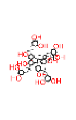 CC(C)(Cc1cc(O)cc(O)c1)c1cc(C(C(=O)O)C(c2ccc(O)c(C(C)(C)Cc3cc(O)cc(O)c3)c2)(c2ccc(O)c(C(C)(C)Cc3cc(O)cc(O)c3)c2)c2ccc(O)c(C(C)(C)Cc3cc(O)cc(O)c3)c2)ccc1O